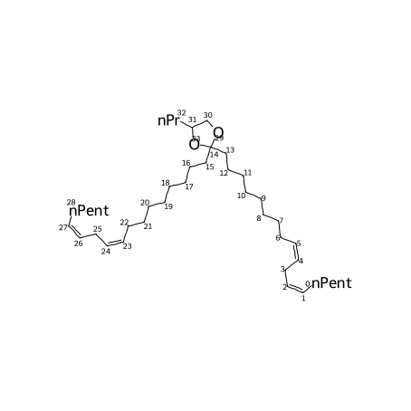 CCCCC/C=C\C/C=C\CCCCCCCCC1(CCCCCCCC/C=C\C/C=C\CCCCC)OCC(CCC)O1